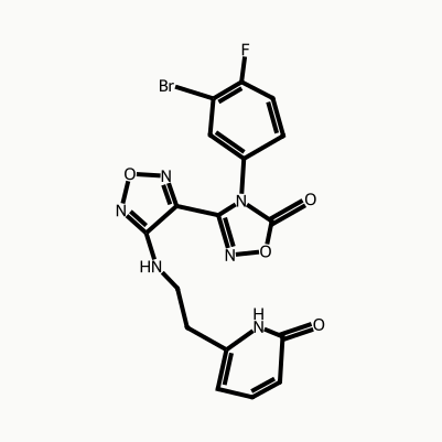 O=c1cccc(CCNc2nonc2-c2noc(=O)n2-c2ccc(F)c(Br)c2)[nH]1